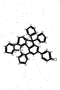 Clc1ccc(-c2cc3c4c(c2)C(c2ccccc2)(c2ccccc2)c2ccc5c6ccccc6n(c5c2-4)-c2ccccc2-3)cc1